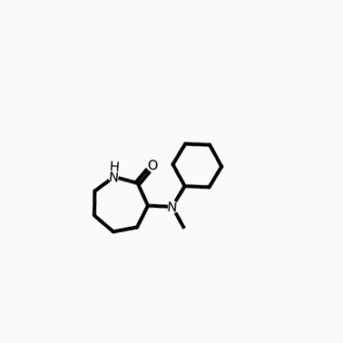 CN(C1CCCCC1)C1CCCCNC1=O